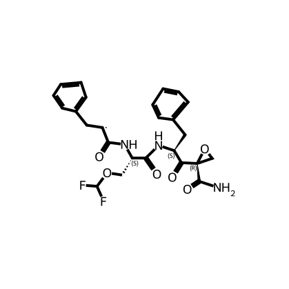 NC(=O)[C@]1(C(=O)[C@H](Cc2ccccc2)NC(=O)[C@H](COC(F)F)NC(=O)[CH]Cc2ccccc2)CO1